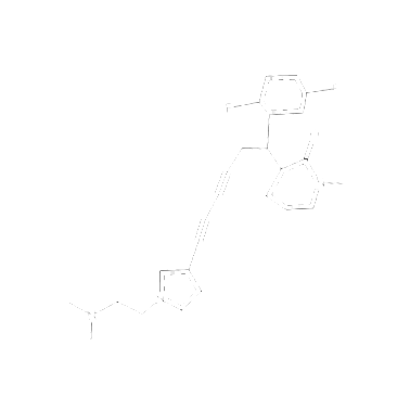 CN(C)CCn1ccc(C#CC#CCC(c2cc(F)ccc2F)c2cccn(C)c2=O)c1